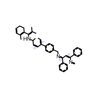 C=N/C(=C\C(=N/Cc1ccc(C(/C=C\C(C)NC(=C(C)C)C2=C(C)C=CCC2)=C/C)cc1)c1ccccc1)c1ccccc1